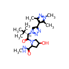 CNC(=O)C1CC(O)CN1C(=O)[C@@H](n1cc(-c2c(C)nn(C)c2C)nn1)C(C)(C)C